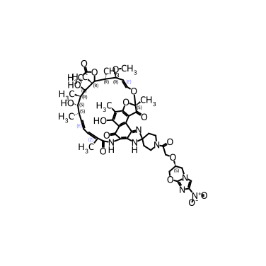 CO[C@H]1/C=C/O[C@@]2(C)Oc3c(C)c(O)c4c(c3C2=O)C2=NC3(CCN(C(=O)CO[C@@H]5COc6nc([N+](=O)[O-])cn6C5)CC3)NC2=C(NC(=O)/C(C)=C\C=C\[C@H](C)[C@H](O)[C@@H](C)[C@@H](O)[C@@H](C)C(OC(C)=O)[C@@H]1C)C4=O